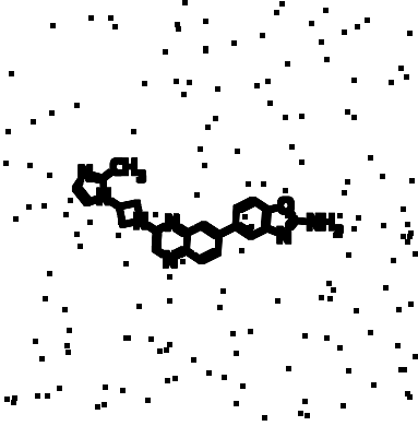 Cc1nccn1C1CN(c2cnc3ccc(-c4ccc5oc(N)nc5c4)cc3n2)C1